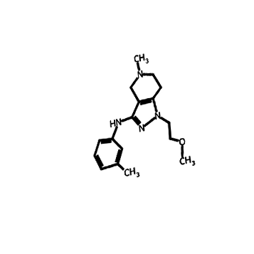 COCCn1nc(Nc2cccc(C)c2)c2c1CCN(C)C2